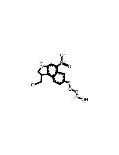 O=[N+]([O-])c1cc2c(c3ccc(SOONO)cc13)C(CCl)CN2